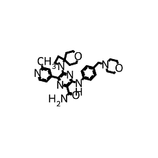 Cc1cc(-c2nc(C(N)=O)c(Nc3ccc(CN4CCOCC4)cc3)nc2N2CCC23CCOCC3)ccn1